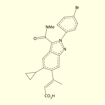 CNC(=O)c1c2cc(C3CC3)c(C(C)=CC(=O)O)cc2nn1-c1ccc(Br)cc1